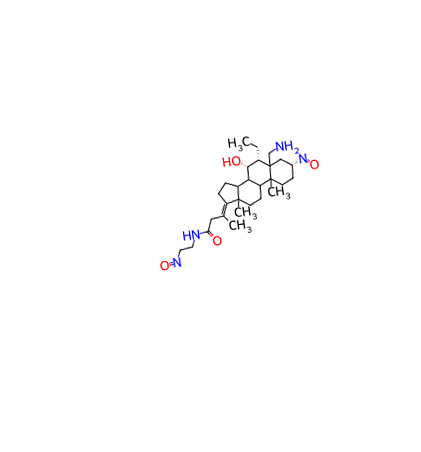 CC[C@H]1[C@@H](O)C2C3CC/C(=C(/C)CC(=O)NCCN=O)C3(C)CCC2C2(C)CC[C@@H](N=O)CC12CN